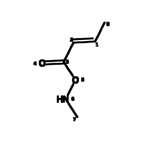 CC=CC(=O)ONC